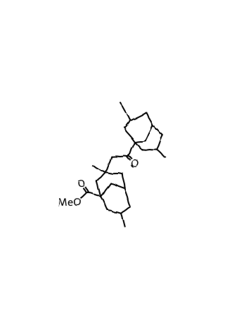 COC(=O)C12CC(C)CC(CC(C)(CC(=O)C34CC(C)CC(CC(C)C3)C4)C1)C2